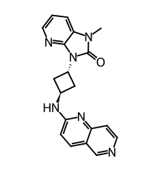 Cn1c(=O)n([C@H]2C[C@H](Nc3ccc4cnccc4n3)C2)c2ncccc21